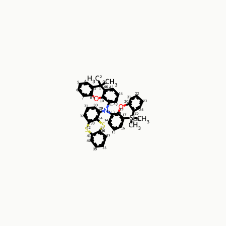 CC1(C)c2ccccc2Oc2c(N(c3cccc4c3Oc3ccccc3[Si]4(C)C)c3cccc4c3Sc3ccccc3S4)cccc21